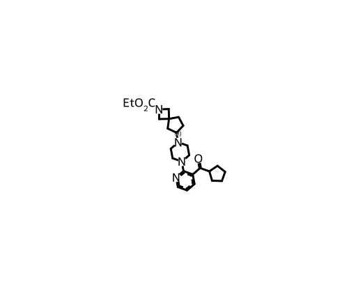 CCOC(=O)N1CC2(CC[C@@H](N3CCN(c4ncccc4C(=O)C4CCCC4)CC3)C2)C1